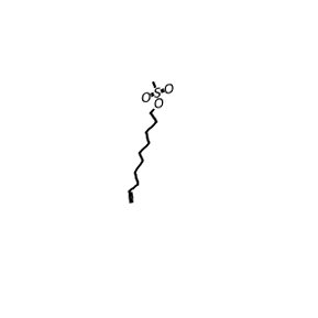 C=CCCCCCCCCOS(C)(=O)=O